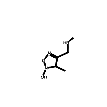 CNCC1=NON(O)C1C